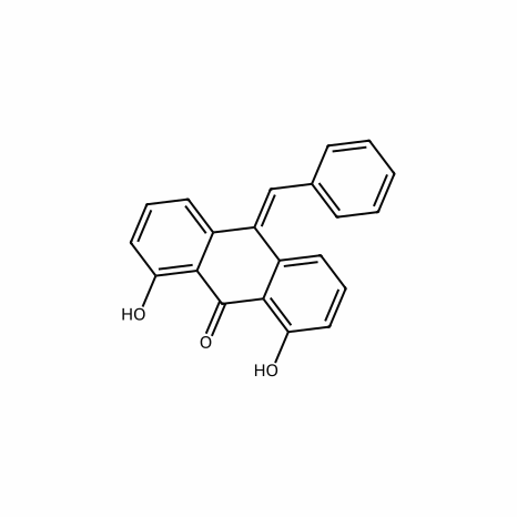 O=C1c2c(O)cccc2C(=Cc2ccccc2)c2cccc(O)c21